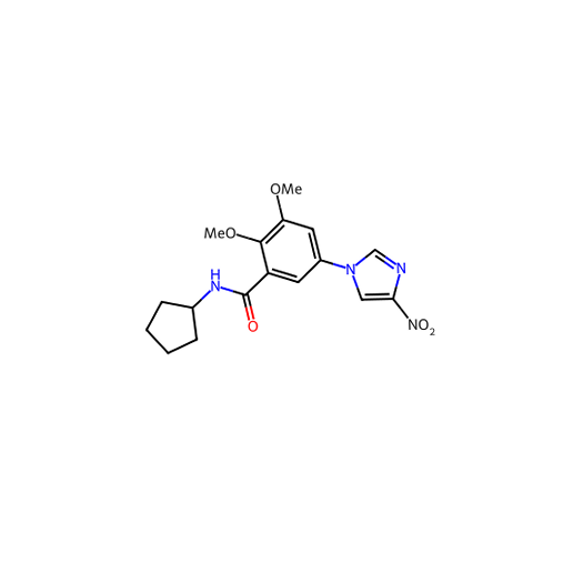 COc1cc(-n2cnc([N+](=O)[O-])c2)cc(C(=O)NC2CCCC2)c1OC